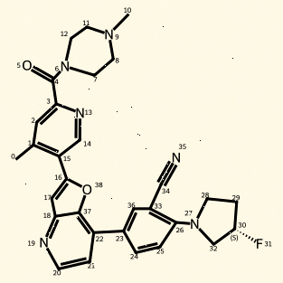 Cc1cc(C(=O)N2CCN(C)CC2)ncc1-c1cc2nccc(-c3ccc(N4CC[C@H](F)C4)c(C#N)c3)c2o1